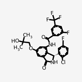 CC(C)(O)COc1cc(NC(=O)c2cc(F)cc(C(F)(F)F)c2)c2c(c1)C(=O)N[C@H]2c1cc(F)ccc1Cl